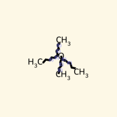 C/C=C/C=C/C(=C\C=C\CCC)OC(/C=C/C=C/C)=C/C=C/CCC